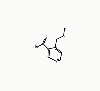 CCCc1ccccc1C([NH])=O